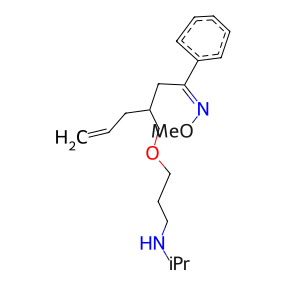 C=CCC(COCCCNC(C)C)CC(=NOC)c1ccccc1